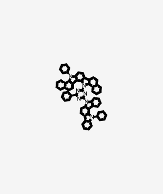 c1ccc(-c2nc(-n3c4ccccc4c4c3ccc3c5ccccc5n(-c5ccccc5)c34)nc(-n3c4c5ccccc5ccc4c4ccc5c(c6ccc7ccccc7c6n5-c5ccccc5)c43)n2)cc1